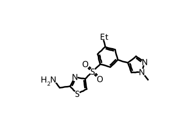 CCc1cc(-c2cnn(C)c2)cc(S(=O)(=O)c2csc(CN)n2)c1